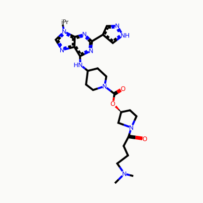 CC(C)n1cnc2c(NC3CCN(C(=O)O[C@H]4CCN(C(=O)CCCN(C)C)C4)CC3)nc(-c3cn[nH]c3)nc21